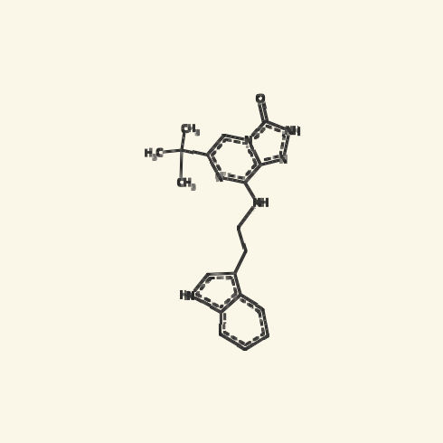 CC(C)(C)c1cn2c(=O)[nH]nc2c(NCCc2c[nH]c3ccccc23)n1